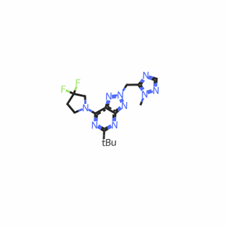 Cn1ncnc1Cn1nc2nc(C(C)(C)C)nc(N3CCC(F)(F)C3)c2n1